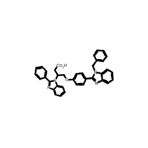 O=C(O)CC(COc1ccc(-c2nc3ccccc3n2Cc2ccccc2)cc1)n1c(-c2ccccc2)nc2ccccc21